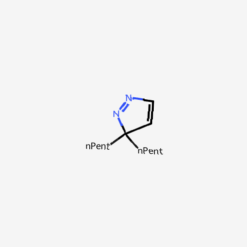 CCCCCC1(CCCCC)C=CN=N1